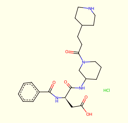 Cl.O=C(O)C[C@@H](NC(=O)c1ccccc1)C(=O)NC1CCCN(C(=O)CCC2CCNCC2)C1